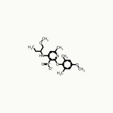 CCC(COC)Nc1cc(C)nc(Oc2c(C)cc(OC)cc2C)c1[N+](=O)[O-]